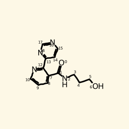 O=C(NCCCO)c1cccnc1-c1ccncn1